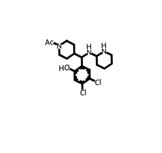 CC(=O)N1CCC(C(NC2CCCCN2)c2cc(Cl)c(Cl)cc2O)CC1